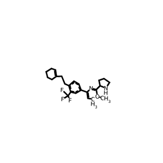 C/C=C(\N=C(/OC)C1CCCN1)c1ccc(CCC2=CCCCC2)c(C(F)(F)F)c1